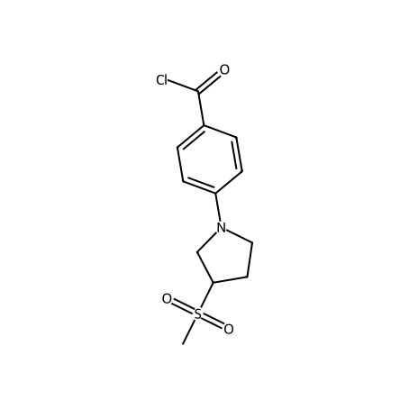 CS(=O)(=O)C1CCN(c2ccc(C(=O)Cl)cc2)C1